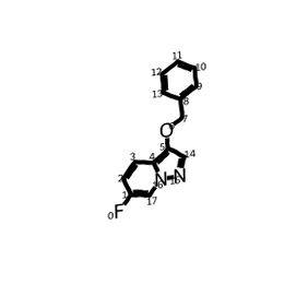 Fc1ccc2c(OCc3ccccc3)cnn2c1